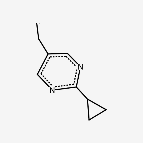 [CH2]Cc1cnc(C2CC2)nc1